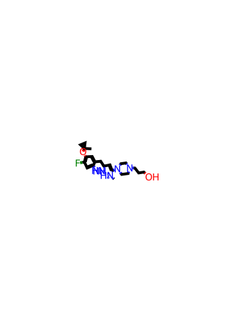 CN/C(=C\C(=N)Cc1cc(OC2(C)CC2)c(F)cc1N)N1CCN(CCCO)CC1